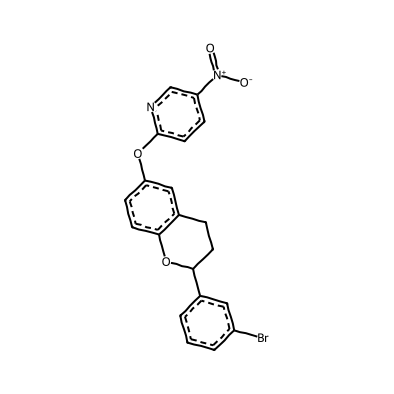 O=[N+]([O-])c1ccc(Oc2ccc3c(c2)CCC(c2cccc(Br)c2)O3)nc1